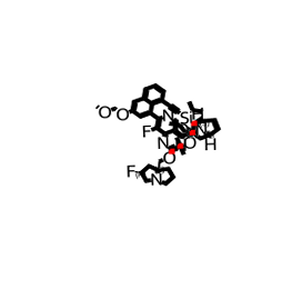 COCOc1cc(-c2ncc3c(N4C[C@H]5C=C[C@@H](C4)N5C(=O)OC(C)(C)C)nc(OC[C@@]45CCCN4C[C@H](F)C5)nc3c2F)c2c(C#C[Si](C(C)C)(C(C)C)C(C)C)cccc2c1